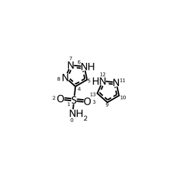 NS(=O)(=O)c1c[nH]nn1.c1cn[nH]c1